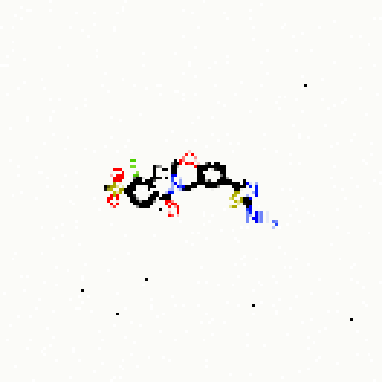 CCc1c(C(=O)N2CCOc3ccc(-c4cnc(N)s4)cc3C2)ccc(S(C)(=O)=O)c1F